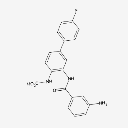 Nc1cccc(C(=O)Nc2cc(-c3ccc(F)cc3)ccc2NC(=O)O)c1